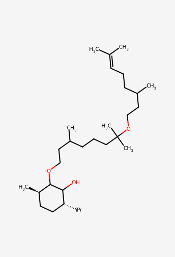 CC(C)=CCCC(C)CCOC(C)(C)CCCC(C)CCOC1C(O)[C@H](C(C)C)CC[C@H]1C